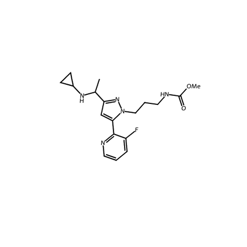 COC(=O)NCCCn1nc(C(C)NC2CC2)cc1-c1ncccc1F